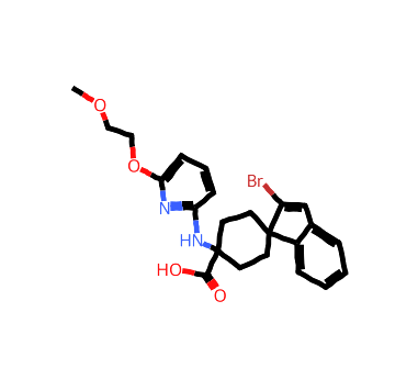 COCCOc1cccc(NC2(C(=O)O)CCC3(CC2)C(Br)=Cc2ccccc23)n1